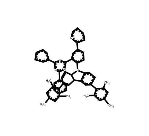 Cc1cc(C)c(C2=CC3c4cc(-c5c(C)cc(C)cc5C)ccc4N(c4ccc(-c5ccccn5)cc4-c4nc(-c5ccccc5)nc(-c5ccccc5)n4)C3C=C2)c(C)c1